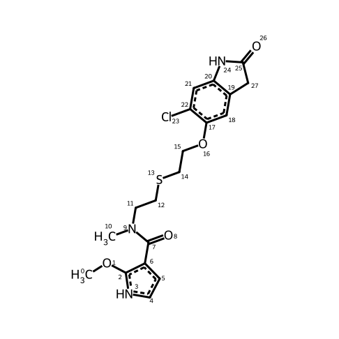 COc1[nH]ccc1C(=O)N(C)CCSCCOc1cc2c(cc1Cl)NC(=O)C2